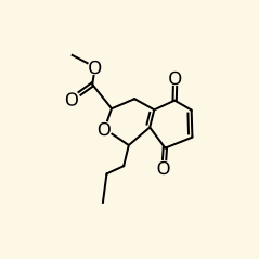 CCCC1OC(C(=O)OC)CC2=C1C(=O)C=CC2=O